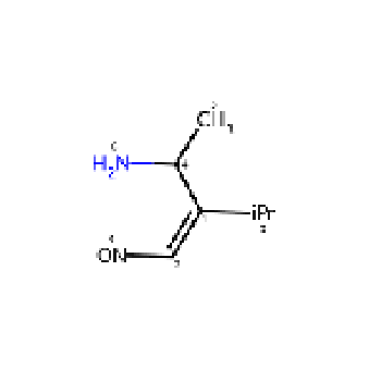 CC(C)/C(=C/N=O)C(C)N